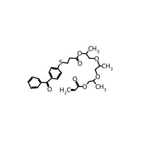 C=CC(=O)OCC(C)OCC(C)OCC(C)OC(=O)CCSc1ccc(C(=O)c2ccccc2)cc1